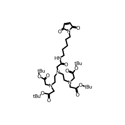 CC(C)(C)OC(=O)CN(CCN(CCN(CC(=O)OC(C)(C)C)CC(=O)OC(C)(C)C)CC(=O)NCCCCCN1C(=O)C=CC1=O)CC(=O)OC(C)(C)C